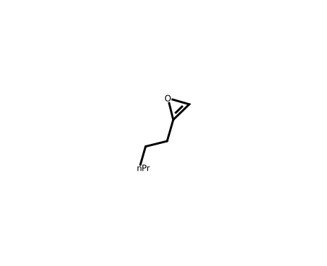 CCCCCC1=CO1